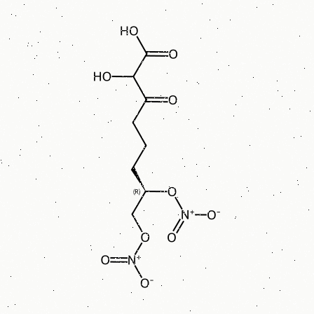 O=C(O)C(O)C(=O)CCC[C@H](CO[N+](=O)[O-])O[N+](=O)[O-]